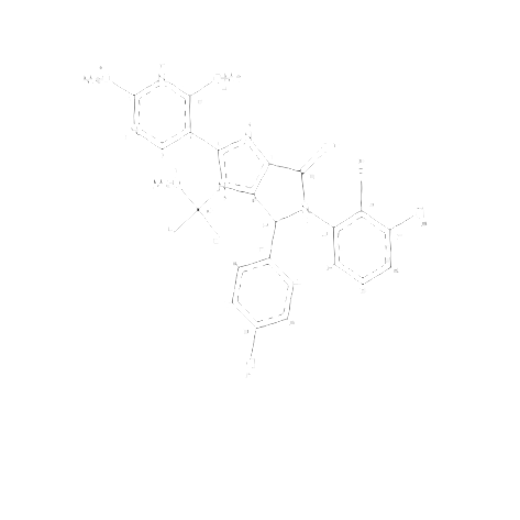 COc1ncc(-c2nc3c(n2C(C)(C)OC)C(c2ccc(Cl)cc2)N(c2cccc(Cl)c2F)C3=O)c(OC)n1